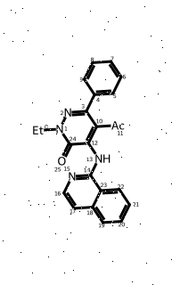 CCn1nc(-c2ccccc2)c(C(C)=O)c(Nc2nccc3ccccc23)c1=O